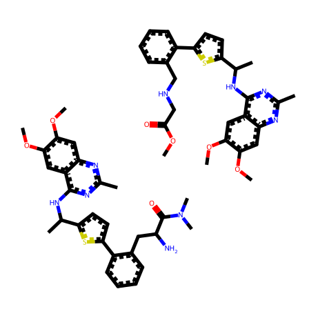 COC(=O)CNCc1ccccc1-c1ccc(C(C)Nc2nc(C)nc3cc(OC)c(OC)cc23)s1.COc1cc2nc(C)nc(NC(C)c3ccc(-c4ccccc4CC(N)C(=O)N(C)C)s3)c2cc1OC